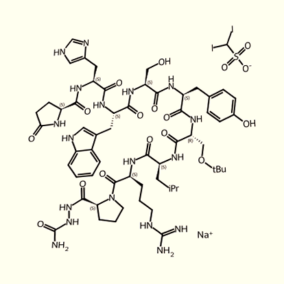 CC(C)C[C@H](NC(=O)[C@@H](COC(C)(C)C)NC(=O)[C@H](Cc1ccc(O)cc1)NC(=O)[C@H](CO)NC(=O)[C@H](Cc1c[nH]c2ccccc12)NC(=O)[C@H](Cc1c[nH]cn1)NC(=O)[C@@H]1CCC(=O)N1)C(=O)N[C@@H](CCCNC(=N)N)C(=O)N1CCC[C@H]1C(=O)NNC(N)=O.O=S(=O)([O-])C(I)I.[Na+]